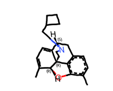 CC1=CC=C2[C@@H]3Cc4ccc(C)c5c4[C@]2(CCN3CC2CCC2)[C@@H]1O5